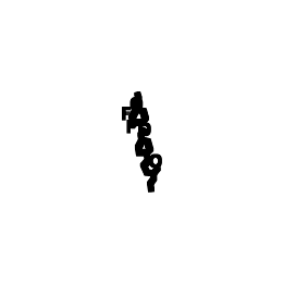 CCCC1CC=C(c2ccc(COc3ccc(OCC)c(F)c3F)cc2)OC1